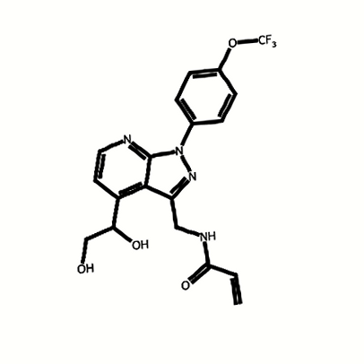 C=CC(=O)NCc1nn(-c2ccc(OC(F)(F)F)cc2)c2nccc(C(O)CO)c12